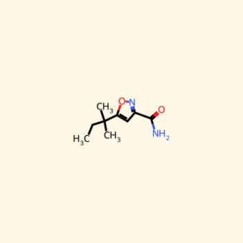 CCC(C)(C)c1cc(C(N)=O)no1